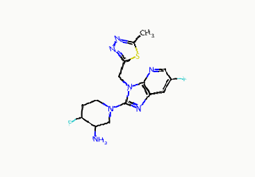 Cc1nnc(Cn2c(N3CCC(F)C(N)C3)nc3cc(F)cnc32)s1